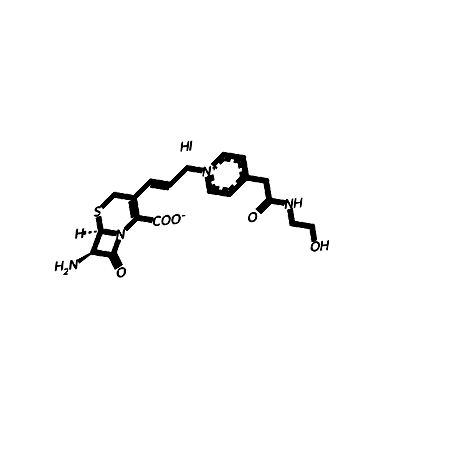 I.N[C@@H]1C(=O)N2C(C(=O)[O-])=C(C=CC[n+]3ccc(CC(=O)NCCO)cc3)CS[C@H]12